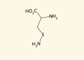 NSCC(N)C(=O)O